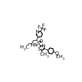 CCCCC(c1ccc(C(F)(F)F)nc1)S(=N)(=O)c1nc(-c2ccc(OC)cc2)c(C)s1